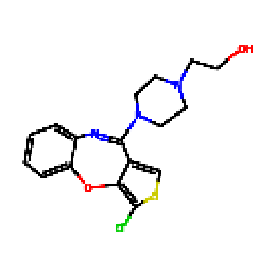 OCCN1CCN(C2=Nc3ccccc3Oc3c2csc3Cl)CC1